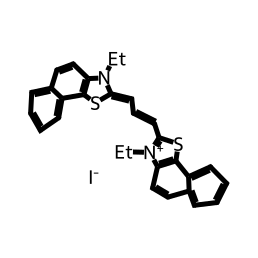 CCN1C(=CC=Cc2sc3c4ccccc4ccc3[n+]2CC)Sc2c1ccc1ccccc21.[I-]